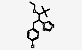 CCOC(C(Cc1ccc(Cl)cc1)n1cncn1)C(C)(C)C